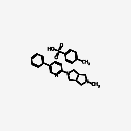 CN1CC2CN(c3ccc(-c4ccccc4)cn3)CC2C1.Cc1ccc(S(=O)(=O)O)cc1